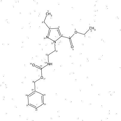 CCOC(=O)c1cc(CC)nn1CCNC(=O)OCc1ccccc1